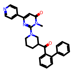 Cn1c(N2CCCC(C(=O)c3ccccc3-c3ccccc3)C2)nc(-c2ccncc2)cc1=O